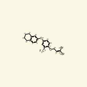 FC(F)(F)c1cc(Oc2ccc3c(c2)CCCC3)ccc1OCC=C(Br)Br